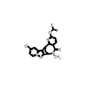 CN1C(=O)c2ccc(OC(F)F)nc2C2CC1c1nn3ccc(Cl)cc3c12